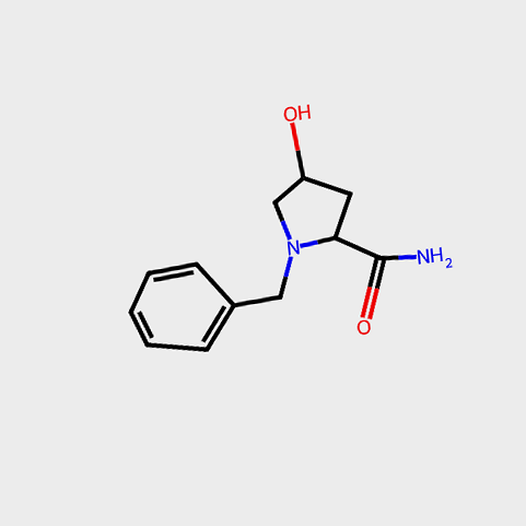 NC(=O)C1CC(O)CN1Cc1ccccc1